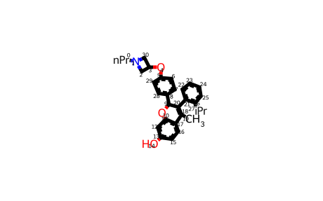 CCCN1CC(Oc2ccc(C3Oc4cc(O)ccc4C(C)=C3c3ccccc3C(C)C)cc2)C1